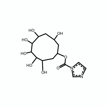 O=C(OC1CC(O)CC(O)C(O)C(O)C(O)C(O)C1)n1ccnc1